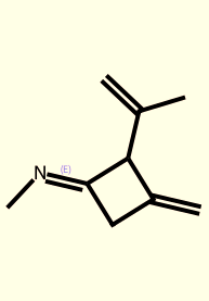 C=C(C)C1C(=C)C/C1=N\C